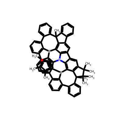 Cc1c(C)c2c3c(c1C)B1c4c(-c5ccccc5)cccc4-c4ccccc4C4(C)c5c(cc6c7cc8c9c(c7n-3c6c51)B2c1c(-c2ccccc2)cccc1-c1ccccc1C9(C)c1ccccc1-8)C(C)(C)C4(C)C